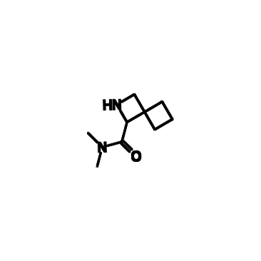 CN(C)C(=O)C1NCC12CCC2